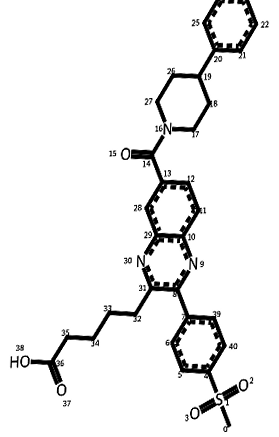 CS(=O)(=O)c1ccc(-c2nc3ccc(C(=O)N4CCC(c5ccccc5)CC4)cc3nc2CCCCC(=O)O)cc1